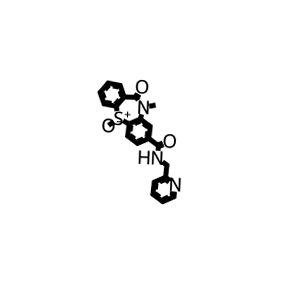 CN1C(=O)c2ccccc2[S+]([O-])c2ccc(C(=O)NCc3ccccn3)cc21